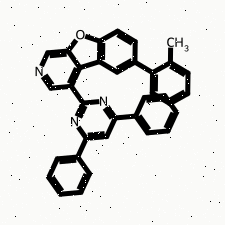 Cc1ccccc1-c1ccc2oc3cncc(-c4nc(-c5ccccc5)cc(-c5ccccc5)n4)c3c2c1